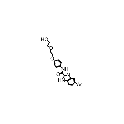 CC(=O)c1ccc2[nH]c(C(=O)Nc3ccc(OCCOCCO)cc3)nc2c1